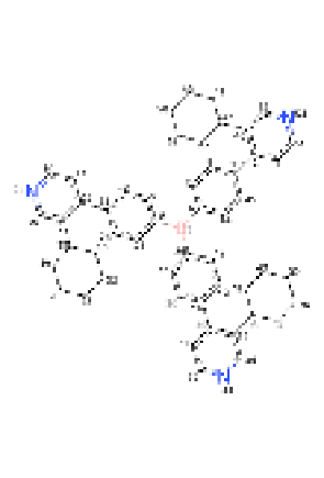 c1cc(-c2ccc(B(c3ccc(-c4ccncc4C4CCCCC4)cc3)c3ccc(-c4ccncc4C4CCCCC4)cc3)cc2)c(C2CCCCC2)cn1